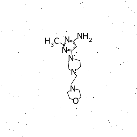 Cc1nc(N)cc(N2CCN(CCN3CCOCC3)CC2)n1